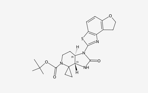 CC(C)(C)OC(=O)N1CC[C@@H]2[C@H](NC(=O)N2c2nc3c4c(ccc3s2)OCC4)C12CC2